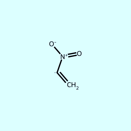 C=[C][N+](=O)[O-]